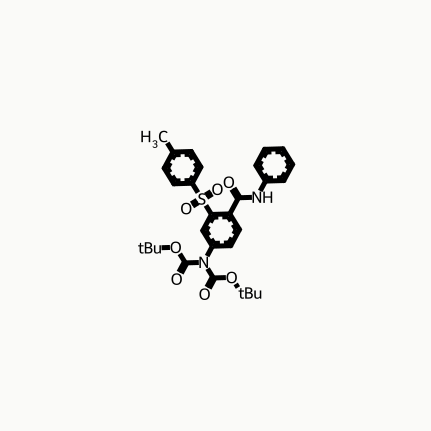 Cc1ccc(S(=O)(=O)c2cc(N(C(=O)OC(C)(C)C)C(=O)OC(C)(C)C)ccc2C(=O)Nc2ccccc2)cc1